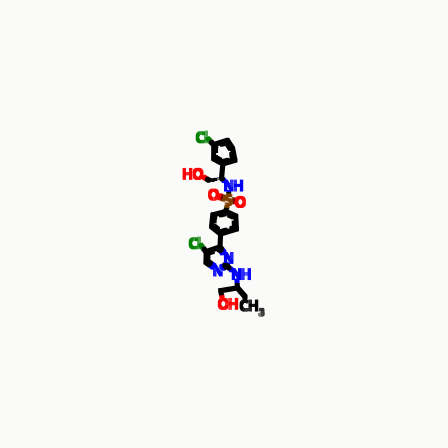 CCC(CO)Nc1ncc(Cl)c(-c2ccc(S(=O)(=O)N[C@H](CO)c3cccc(Cl)c3)cc2)n1